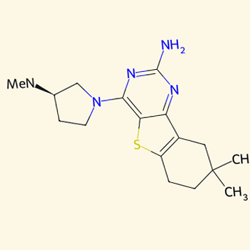 CN[C@@H]1CCN(c2nc(N)nc3c4c(sc23)CCC(C)(C)C4)C1